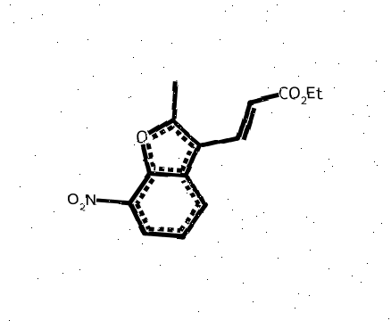 CCOC(=O)C=Cc1c(C)oc2c([N+](=O)[O-])cccc12